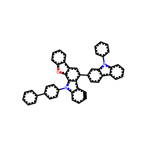 c1ccc2c(c#1)c1c(-c3ccc4c5ccccc5n(-c5ccccc5)c4c3)cc3c4ccccc4oc3c1n2-c1ccc(-c2ccccc2)cc1